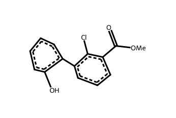 COC(=O)c1cccc(-c2ccccc2O)c1Cl